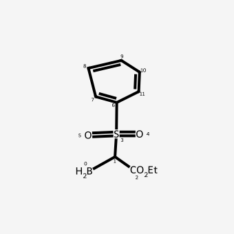 BC(C(=O)OCC)S(=O)(=O)c1ccccc1